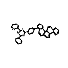 c1ccc(-c2nc(-c3ccc(-c4cccc5c4ccc4ccc6c7ccccc7ccc6c45)cc3)nc(-c3ccccn3)n2)cc1